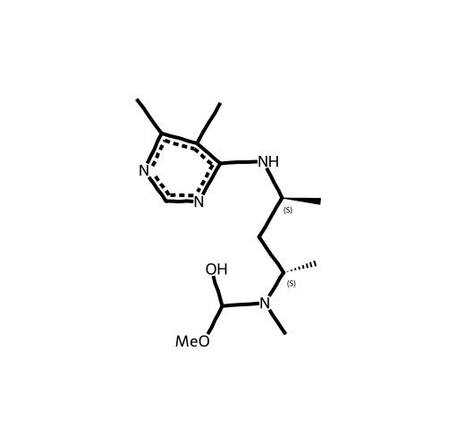 COC(O)N(C)[C@@H](C)C[C@H](C)Nc1ncnc(C)c1C